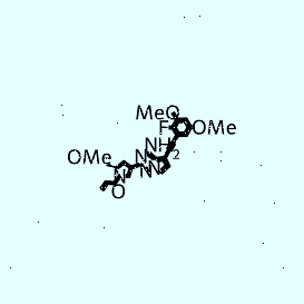 C=CC(=O)N1CC(c2nc(N)c3c(C#Cc4cc(OC)cc(OC)c4F)ccn3n2)C[C@@H]1COC